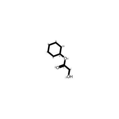 O=C(CO)OC1CCCCC1